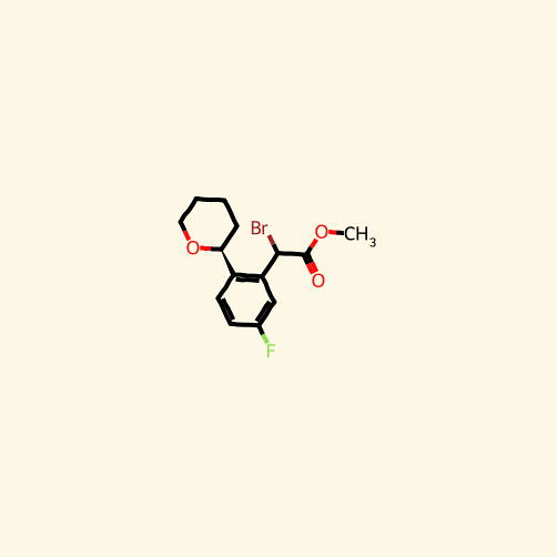 COC(=O)C(Br)c1cc(F)ccc1[C@@H]1CCCCO1